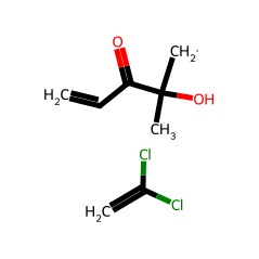 C=C(Cl)Cl.[CH2]C(C)(O)C(=O)C=C